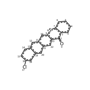 O=c1c2ccccc2sc2cc3cc4ccc(Cl)cc4cc3cc12